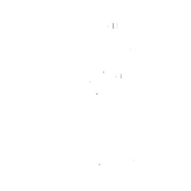 CC(C)COC(=O)CCCc1c(Cl)cccc1S(=O)(=O)N(C)C[C@H](C)O